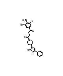 Nc1c(Br)cc(C(=O)CCC(=O)N2CCC(n3cc(-c4ccccc4)[nH]c3=O)CC2)cc1Br